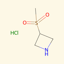 CS(=O)(=O)C1CNC1.Cl